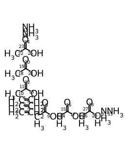 C=C.C=C.C=C.CC(=O)O.CC(=O)O.CC(=O)O.CC(=O)O.CC(=O)O.CC(=O)O.N.N.N.N